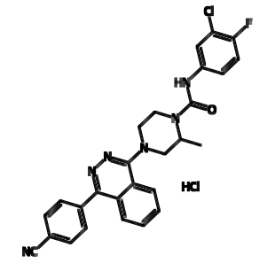 CC1CN(c2nnc(-c3ccc(C#N)cc3)c3ccccc23)CCN1C(=O)Nc1ccc(F)c(Cl)c1.Cl